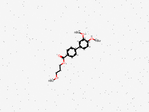 CCCCOCCCOC(=O)c1ccc(-c2ccc(OCCCC)c(OCCCC)c2)cc1